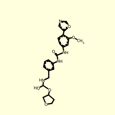 COc1cc(NC(=O)Nc2cccc(CNC(O)OC3CCOC3)c2)ccc1-c1cnco1